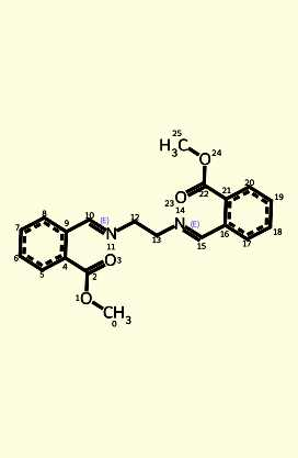 COC(=O)c1ccccc1/C=N/CC/N=C/c1ccccc1C(=O)OC